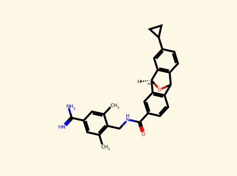 Cc1cc(C(=N)N)cc(C)c1CNC(=O)c1ccc2c(c1)[C@@H]1OC2c2ccc(C3CC3)cc21